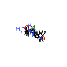 CCN1C(=O)CCCc2c1ccc(Nc1ncc(Cl)c(NC3C4CCC(C4)C3C(N)=O)n1)c2OC